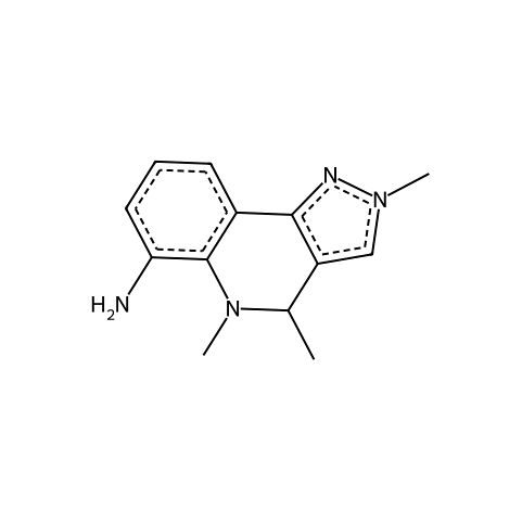 CC1c2cn(C)nc2-c2cccc(N)c2N1C